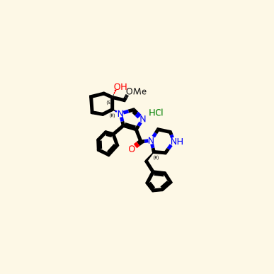 COC[C@]1(O)CCCC[C@H]1n1cnc(C(=O)N2CCNC[C@H]2Cc2ccccc2)c1-c1ccccc1.Cl